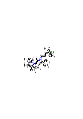 C[Si](C)(Cl)CCCN(CCN([Si](C)(C)C)[Si](C)(C)C)[Si](C)(C)C